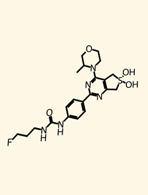 CC1COCCN1c1nc(-c2ccc(NC(=O)NCCCF)cc2)nc2c1CS(O)(O)C2